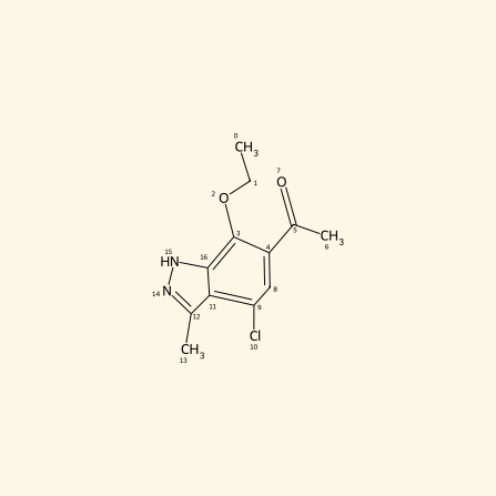 CCOc1c(C(C)=O)cc(Cl)c2c(C)n[nH]c12